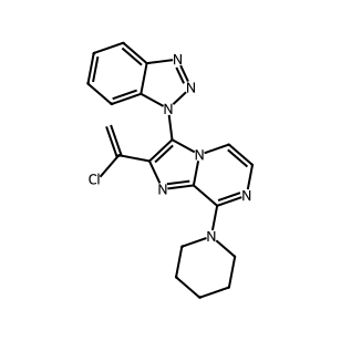 C=C(Cl)c1nc2c(N3CCCCC3)nccn2c1-n1nnc2ccccc21